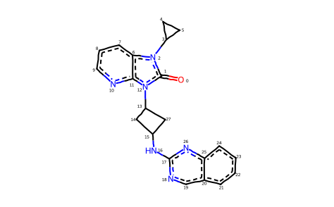 O=c1n(C2CC2)c2cccnc2n1C1CC(Nc2ncc3ccccc3n2)C1